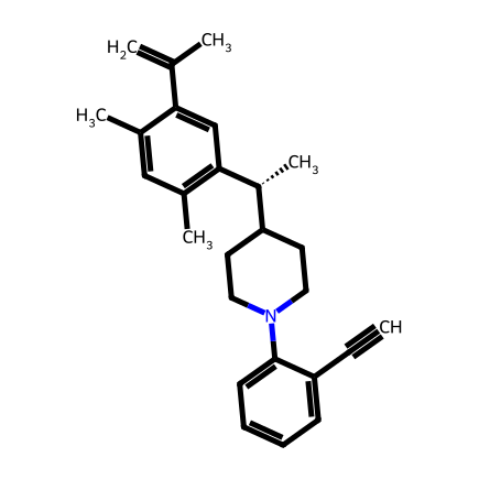 C#Cc1ccccc1N1CCC([C@@H](C)c2cc(C(=C)C)c(C)cc2C)CC1